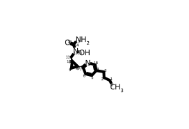 CCCCc1ccc([C@@H]2C[C@H]2CN(O)C(N)=O)nc1